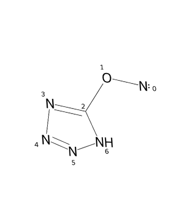 [N]Oc1nnn[nH]1